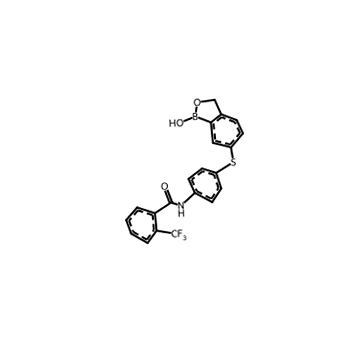 O=C(Nc1ccc(Sc2ccc3c(c2)B(O)OC3)cc1)c1ccccc1C(F)(F)F